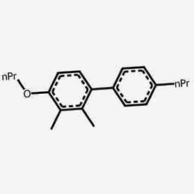 CCCOc1ccc(-c2ccc(CCC)cc2)c(C)c1C